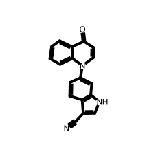 N#Cc1c[nH]c2cc(-n3ccc(=O)c4ccccc43)ccc12